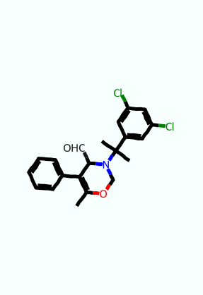 CC1=C(c2ccccc2)C(C=O)N(C(C)(C)c2cc(Cl)cc(Cl)c2)CO1